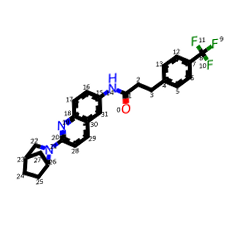 O=C(CCc1ccc(C(F)(F)F)cc1)Nc1ccc2nc(N3CC4CCC3C4)ccc2c1